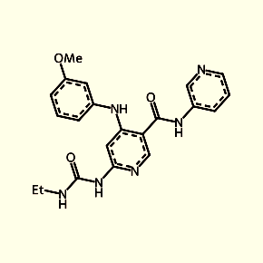 CCNC(=O)Nc1cc(Nc2cccc(OC)c2)c(C(=O)Nc2cccnc2)cn1